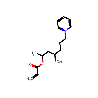 C=CC(=O)OC(C)CC(CCCCCCCC)CCC[n+]1ccccc1